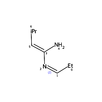 CC/C=N\C(N)=CC(C)C